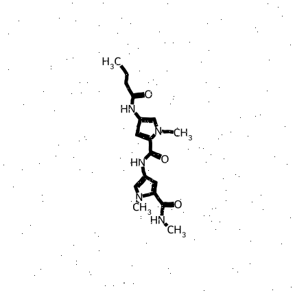 CCCC(=O)Nc1cc(C(=O)Nc2cc(C(=O)NC)n(C)c2)n(C)c1